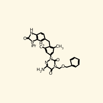 Cc1cc(-n2nc(N)c(=O)n(COCc3ccccc3)c2=O)cc(C)c1Cc1ccc2[nH]c(=O)n(C(C)C)c2c1